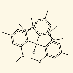 COc1cc(C)cc(OC)c1[Si](Cl)(c1c(OC)cc(C)cc1OC)c1c(OC)cc(C)cc1OC